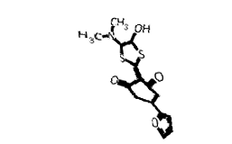 CN(C)C1SC(=C2C(=O)CC(c3ccco3)CC2=O)SC1O